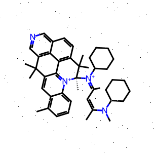 C/C(=C/C(C)=[N+](/C1CCCCC1)[C@@]1(C)[n+]2c3c(cc4c(C)cccc42)C(C)(C)c2cncc4ccc(c-3c24)C1(C)C)N(C)C1CCCCC1